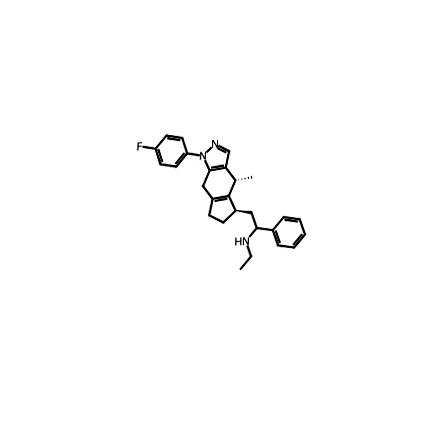 CCNC(C[C@H]1CCC2=C1[C@@H](C)c1cnn(-c3ccc(F)cc3)c1C2)c1ccccc1